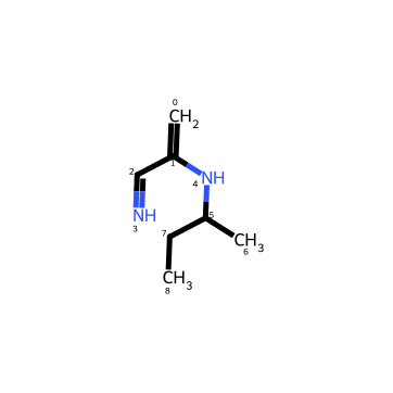 C=C(C=N)NC(C)CC